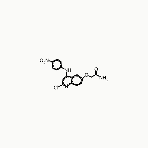 NC(=O)COc1ccc2nc(Cl)cc(Nc3ccc([N+](=O)[O-])cc3)c2c1